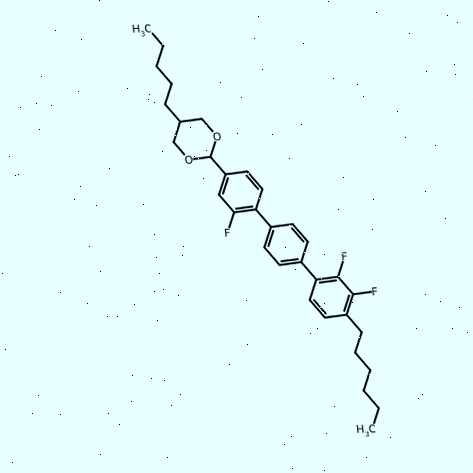 CCCCCCc1ccc(-c2ccc(-c3ccc(C4OCC(CCCCC)CO4)cc3F)cc2)c(F)c1F